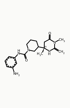 C=C1N[C@](C)(C2CCCN(C(=O)Nc3cccc(N)c3)C2)CC(=O)N1C